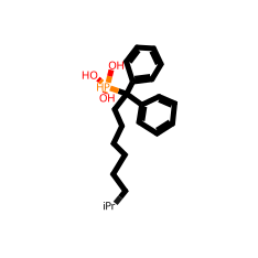 CC(C)CCCCCCC(c1ccccc1)(c1ccccc1)[PH](O)(O)O